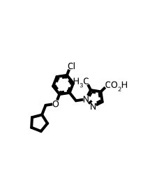 Cc1c(C(=O)O)cnn1Cc1cc(Cl)ccc1OCC1CCCC1